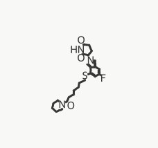 O=C1CCC(n2cc3cc(F)cc(SCCCCCCC(=O)N4CCCCC4)c3c2)C(=O)N1